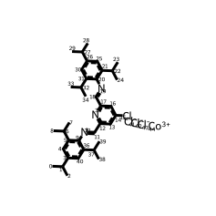 CC(C)c1cc(C(C)C)c(N=Cc2cc(Cl)cc(C=Nc3c(C(C)C)cc(C(C)C)cc3C(C)C)n2)c(C(C)C)c1.[Cl-].[Cl-].[Cl-].[Co+3]